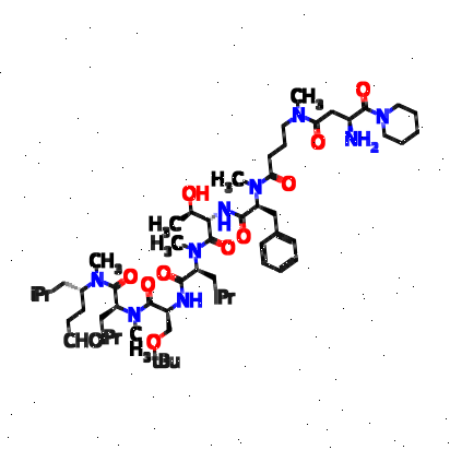 CC(C)C[C@@H](CCC=O)N(C)C(=O)[C@H](CC(C)C)N(C)C(=O)[C@H](COC(C)(C)C)NC(=O)[C@H](CC(C)C)N(C)C(=O)[C@@H](NC(=O)[C@H](Cc1ccccc1)N(C)C(=O)CCCN(C)C(=O)C[C@H](N)C(=O)N1CCCCC1)[C@@H](C)O